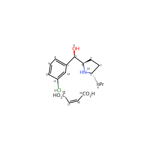 CCC[C@H]1CC[C@H]([C@H](O)c2cccc(Cl)c2)N1.O=C(O)/C=C\C(=O)O